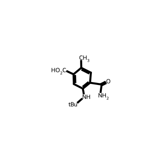 Cc1cc(C(N)=O)c(NC(C)(C)C)cc1C(=O)O